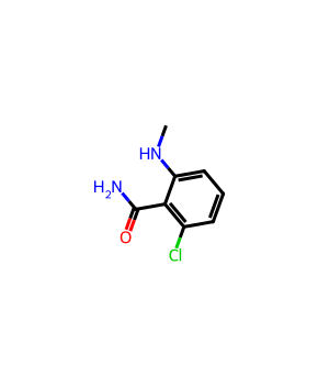 CNc1cccc(Cl)c1C(N)=O